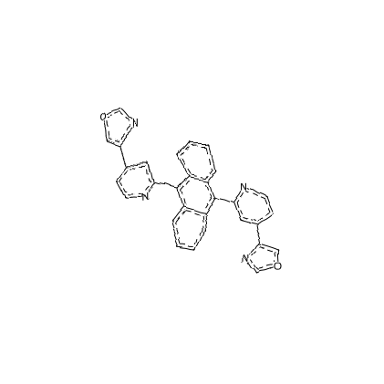 c1ccc2c(-c3cc(-c4cocn4)ccn3)c3ccccc3c(-c3cc(-c4cocn4)ccn3)c2c1